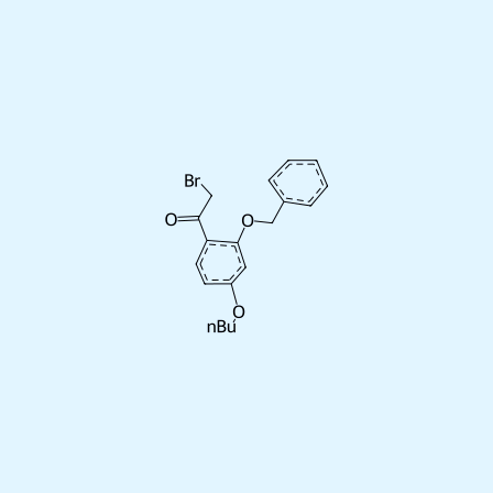 CCCCOc1ccc(C(=O)CBr)c(OCc2ccccc2)c1